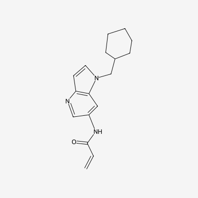 C=CC(=O)Nc1cnc2ccn(CC3CCCCC3)c2c1